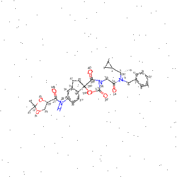 C[C@@H](C1CC1)N(Cc1ccccc1)C(=O)CN1C(=O)OC2(CCc3cc(NC(=O)C4COC(C)(C)O4)ccc32)C1=O